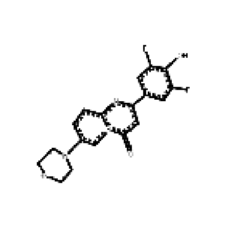 O=c1cc(-c2cc(F)c(O)c(F)c2)nc2ccc(N3CCNCC3)cn12